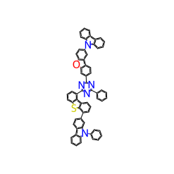 c1ccc(-c2nc(-c3ccc4c(c3)oc3ccc(-n5c6ccccc6c6ccccc65)cc34)nc(-c3cccc4sc5c(-c6ccc7c8ccccc8n(-c8ccccc8)c7c6)cccc5c34)n2)cc1